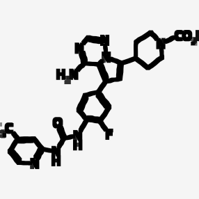 Nc1ncnn2c(C3CCN(C(=O)O)CC3)cc(-c3ccc(NC(=O)Nc4cc(C(F)(F)F)ccn4)c(F)c3)c12